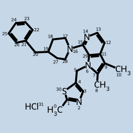 Cc1ncc(Cn2c(C)c(C)c3ccnc(N4CCC(Cc5ccccc5)CC4)c32)s1.Cl